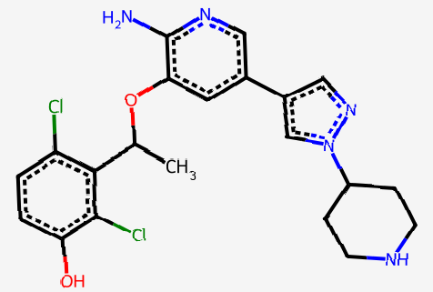 CC(Oc1cc(-c2cnn(C3CCNCC3)c2)cnc1N)c1c(Cl)ccc(O)c1Cl